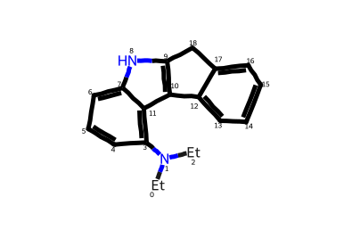 CCN(CC)c1cccc2[nH]c3c(c12)-c1ccccc1C3